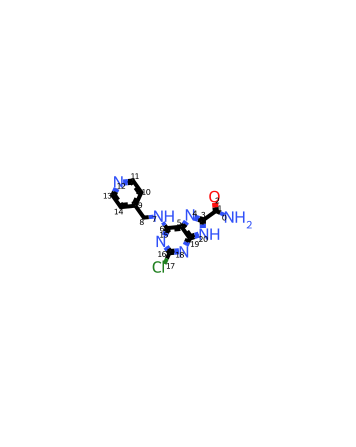 NC(=O)c1nc2c(NCc3ccncc3)nc(Cl)nc2[nH]1